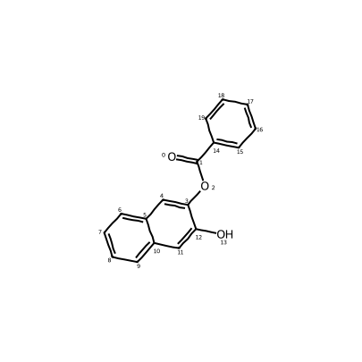 O=C(Oc1cc2ccccc2cc1O)c1ccccc1